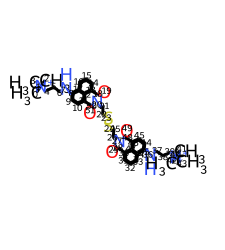 C[N+](C)(C)CCCNc1ccc2c3c(cccc13)C(=O)N(CCSSCCN1C(=O)c3cccc4c(NCCC[N+](C)(C)C)ccc(c34)C1=O)C2=O